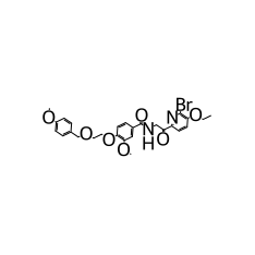 CCOc1ccc(C(=O)CNC(=O)c2ccc(OCCOCc3ccc(OC)cc3)c(OC)c2)nc1Br